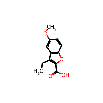 CCc1c(C(=O)O)oc2ccc(OC)cc12